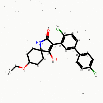 O=C1NC2(CCC(OCC(F)(F)F)CC2)C(O)=C1c1cc(-c2ccc(Cl)cc2)ccc1Cl